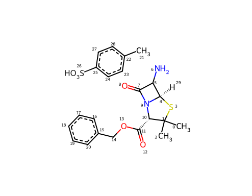 CC1(C)S[C@@H]2C(N)C(=O)N2[C@H]1C(=O)OCc1ccccc1.Cc1ccc(S(=O)(=O)O)cc1